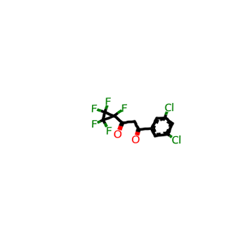 O=C(CC(=O)C1(F)C(F)(F)C1(F)F)c1cc(Cl)cc(Cl)c1